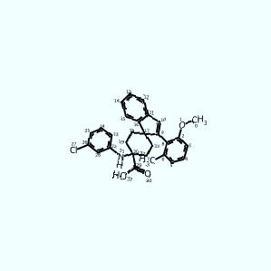 COc1cccc(C)c1C1=Cc2ccccc2C12CCC(Nc1cccc(Cl)c1)(C(=O)O)CC2